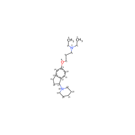 CCN(CC)CCCOc1ccc2c(c1)CCC2N1CCCCC1